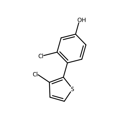 Oc1ccc(-c2sccc2Cl)c(Cl)c1